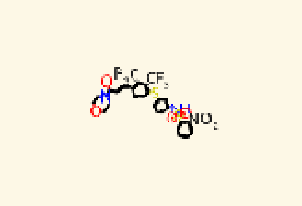 O=C(/C=C/c1ccc(Sc2cccc(NS(=O)(=O)c3ccccc3[N+](=O)[O-])c2)c(C(F)(F)F)c1C(F)(F)F)N1CCOCC1